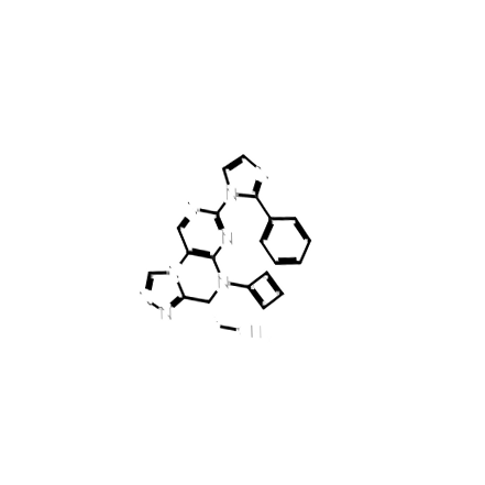 CC[C@@H]1c2nncn2-c2cnc(-n3ccnc3-c3ccccc3)nc2N1C1=CC=C1